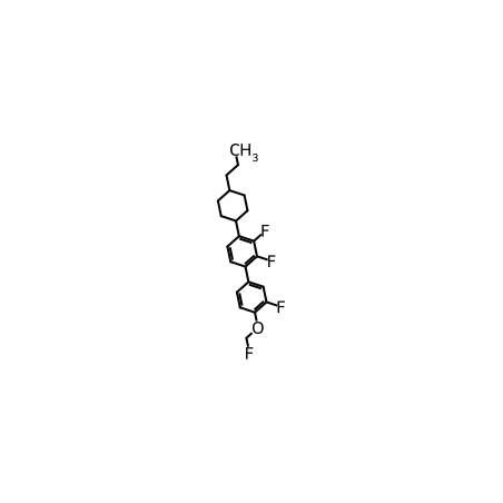 CCCC1CCC(c2ccc(-c3ccc(OCF)c(F)c3)c(F)c2F)CC1